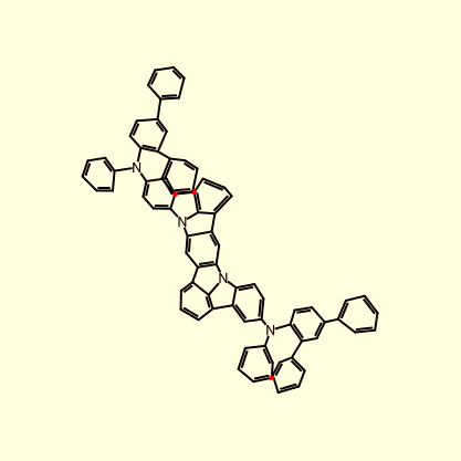 c1ccc(-c2ccc(N(c3ccccc3)c3ccc4c(c3)c3cccc5c6cc7c(cc6n4c35)c3cccc4c5cc(N(c6ccccc6)c6ccc(-c8ccccc8)cc6-c6ccccc6)ccc5n7c43)c(-c3ccccc3)c2)cc1